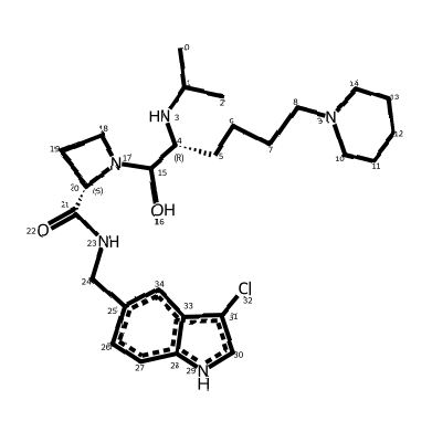 CC(C)N[C@H](CCCCN1CCCCC1)C(O)N1CC[C@H]1C(=O)NCc1ccc2[nH]cc(Cl)c2c1